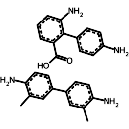 Cc1cc(-c2ccc(N)c(C)c2)ccc1N.Nc1ccc(-c2c(N)cccc2C(=O)O)cc1